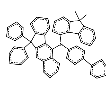 CC1(C)c2ccccc2-c2c(N(c3ccc(-c4ccccc4)cc3)c3c4c(cc5ccccc35)C(c3ccccc3)(c3ccccc3)c3ccccc3-4)cccc21